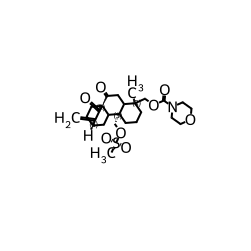 C=C1C(=O)[C@]23CC[C@H]1CC2[C@]1(COS(C)(=O)=O)CCC[C@@](C)(COC(=O)N2CCOCC2)C1CC3=O